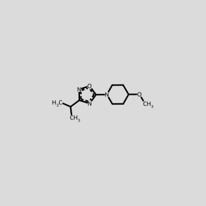 COC1CCN(c2nc(C(C)C)no2)CC1